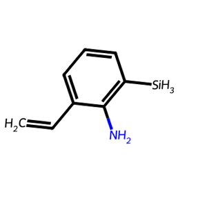 C=Cc1cccc([SiH3])c1N